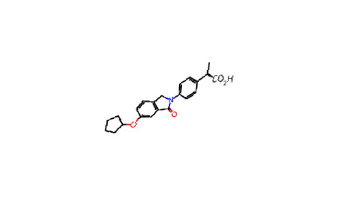 CC(C(=O)O)c1ccc(N2Cc3ccc(OC4CCCC4)cc3C2=O)cc1